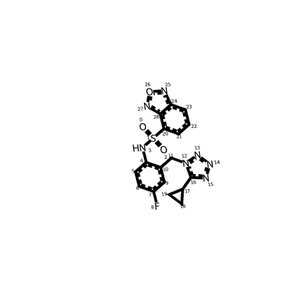 O=S(=O)(Nc1ccc(F)cc1Cn1nnnc1C1CC1)c1cccc2nonc12